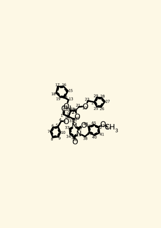 C=C[C@@]1(OCc2ccccc2)[C@H](OCc2ccccc2)[C@@H](COCc2ccccc2)O[C@H]1n1ccc(=O)n(Cc2ccc(OC)cc2)c1=O